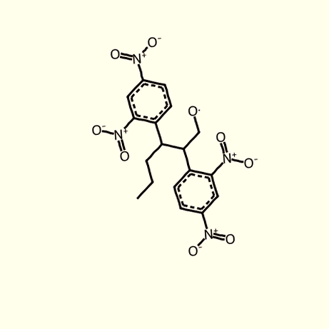 CCCC(c1ccc([N+](=O)[O-])cc1[N+](=O)[O-])C(C[O])c1ccc([N+](=O)[O-])cc1[N+](=O)[O-]